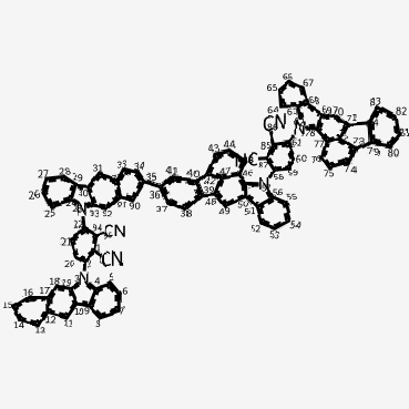 N#Cc1c(-n2c3ccccc3c3cc4ccccc4cc32)ccc(-n2c3ccccc3c3cc4ccc(-c5ccc6c(c5)-c5cccc7c5c-6cc5c6ccccc6n(-c6ccc(-n8c9ccccc9c9cc%10c%11c(cccc%11c98)-c8ccccc8-%10)c(C#N)c6C#N)c75)cc4cc32)c1C#N